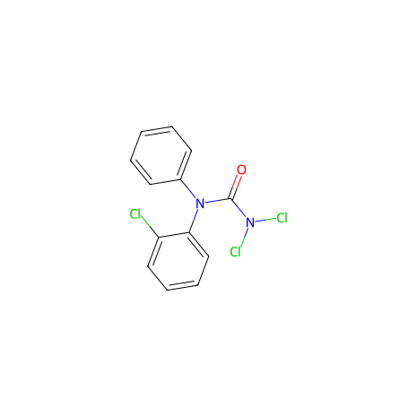 O=C(N(Cl)Cl)N(c1ccccc1)c1ccccc1Cl